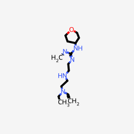 C=CN(CC)CCNCC/N=C(\N=C)NC1CCOCC1